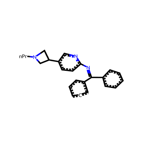 CCCN1CC(c2ccc(N=C(c3ccccc3)c3ccccc3)nc2)C1